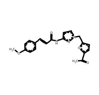 COc1ccc(C=CC(=O)Nc2ccn(Cc3ccc(C(C)=O)o3)n2)cc1